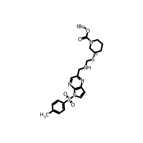 Cc1ccc(S(=O)(=O)n2ccc3nc(CNCS[C@@H]4CCCN(C(=O)OC(C)(C)C)C4)cnc32)cc1